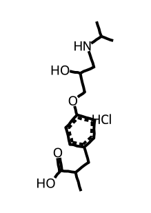 CC(C)NCC(O)COc1ccc(CC(C)C(=O)O)cc1.Cl